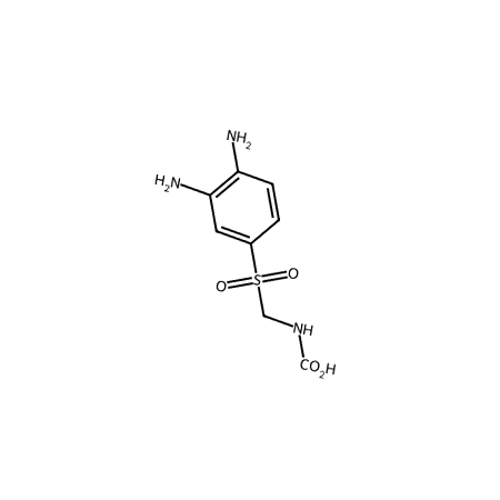 Nc1ccc(S(=O)(=O)CNC(=O)O)cc1N